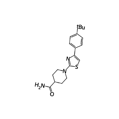 CC(C)(C)c1ccc(-c2csc(N3CCC(C(N)=O)CC3)n2)cc1